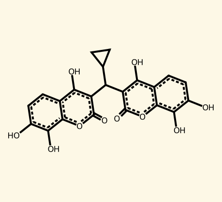 O=c1oc2c(O)c(O)ccc2c(O)c1C(c1c(O)c2ccc(O)c(O)c2oc1=O)C1CC1